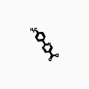 Cc1ccc(-c2ncc(C(=O)Cl)cn2)cc1